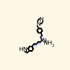 CN1CCN(Cc2ccc(/C=C/C(/C=C/C=C/c3ccc4cc[nH]c4c3)=N/N)cc2)CC1